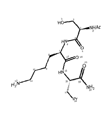 CC(=O)N[C@H](CO)C(=O)N[C@H](CCCCN)C(=O)N[C@@H](CC(C)C)C(N)=O